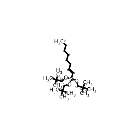 CCCCCCC=C[Si](OCC(C)(C)C)(OCC(C)(C)C)OCC(C)(C)C